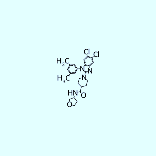 Cc1cc(C)cc(-n2c(N3CCC(C(=O)N[C@@H]4CCOC4)CC3)nc3cc(Cl)c(Cl)cc32)c1